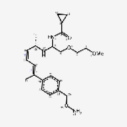 COCCOCC(NC(=O)C1CC1)N[C@@H](C)/C=C\C=C(/C)c1ccc(CON)cc1